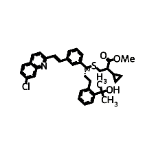 COC(=O)C(CS[C@H](CCc1ccccc1C(C)(C)O)c1cccc(C=Cc2ccc3ccc(Cl)cc3n2)c1)C1CC1